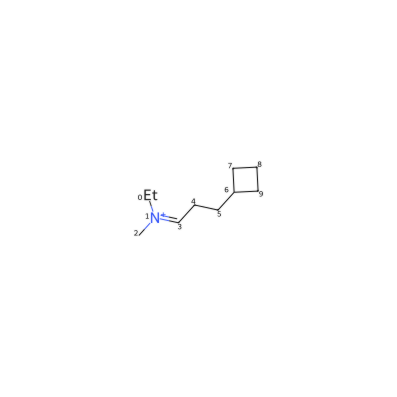 CC/[N+](C)=C\CCC1CCC1